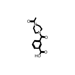 CC(=O)N1CCN(C(=O)c2cccc(C(=O)O)c2)CC1